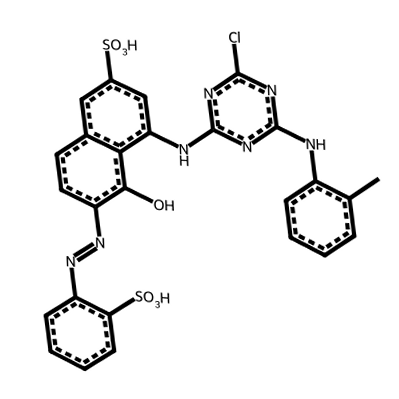 Cc1ccccc1Nc1nc(Cl)nc(Nc2cc(S(=O)(=O)O)cc3ccc(N=Nc4ccccc4S(=O)(=O)O)c(O)c23)n1